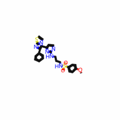 COc1ccc(S(=O)(=O)NCCCNc2nccc(-c3c(-c4ccccc4)nc4sccn34)n2)cc1